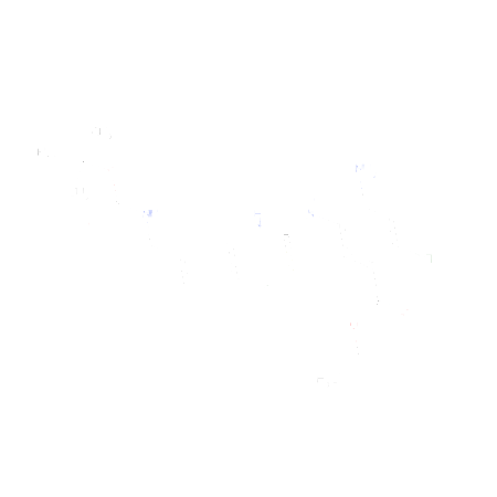 CCOC(=O)c1cc(NC(=S)Nc2cc(CNC(=O)OC(C)(C)C)ccc2Cl)c(N)cc1Cl